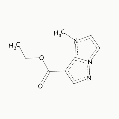 CCOC(=O)c1cnn2ccn(C)c12